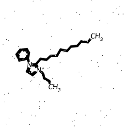 CCCCCCCCCCCc1n(-c2ccccc2)cc[n+]1CCCC